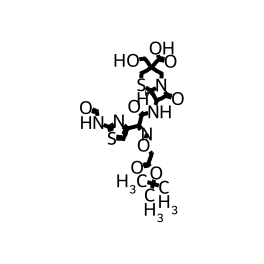 CC(C)(C)OC(=O)CON=C(C(=O)NC1C(=O)N2CC(CO)(C(=O)O)CS[C@H]12)c1csc(NC=O)n1